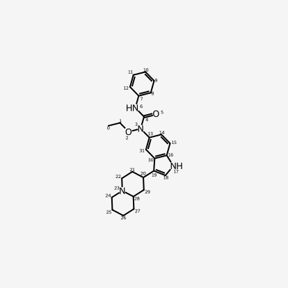 CCON(C(=O)Nc1ccccc1)c1ccc2[nH]cc(C3CCN4CCCCC4C3)c2c1